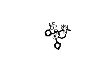 Cc1nnc2n1CCC[C@@H](Cc1ccccc1)N(S(=O)(=O)c1ccccc1OC(F)(F)F)C2